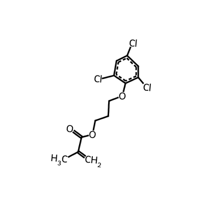 C=C(C)C(=O)OCCCOc1c(Cl)cc(Cl)cc1Cl